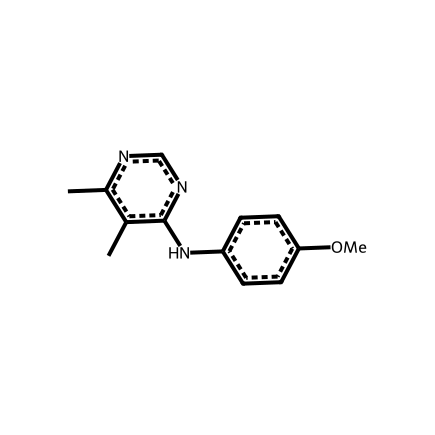 COc1ccc(Nc2ncnc(C)c2C)cc1